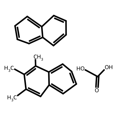 Cc1cc2ccccc2c(C)c1C.O=C(O)O.c1ccc2ccccc2c1